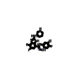 O/N=C(\Nc1ccc(F)c(Cl)c1)c1cc(F)c(F)c2nc(N[C@H]3CCCNC3)[nH]c12